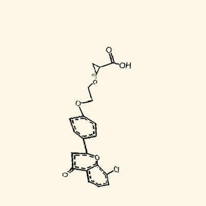 O=C(O)C1C[C@H]1OCCOc1ccc(-c2cc(=O)c3cccc(Cl)c3o2)cc1